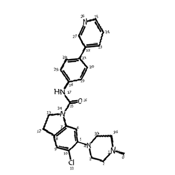 CN1CCN(c2cc3c(cc2Cl)CCN3C(=O)Nc2ccc(-c3cccnc3)cc2)CC1